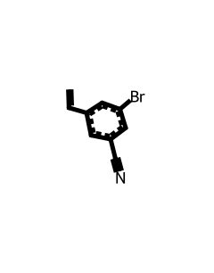 C=Cc1cc(Br)cc(C#N)c1